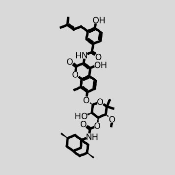 CO[C@@H]1[C@@H](OC(=O)NC23CC(C[C@@H](C)C2)C[C@H](C)C3)[C@@H](O)[C@H](Oc2ccc3c(O)c(NC(=O)c4ccc(O)c(CC=C(C)C)c4)c(=O)oc3c2C)OC1(C)C